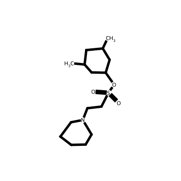 CC1CC(C)CC(OS(=O)(=O)CCN2CCCCC2)C1